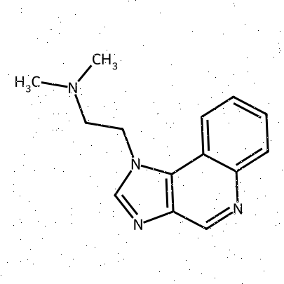 CN(C)CCn1cnc2cnc3ccccc3c21